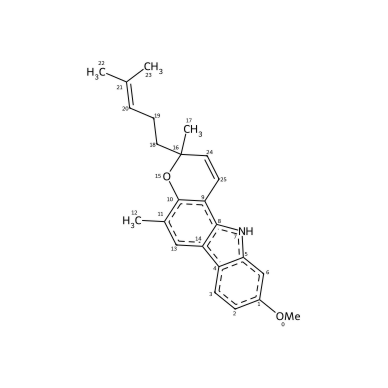 COc1ccc2c(c1)[nH]c1c3c(c(C)cc12)OC(C)(CCC=C(C)C)C=C3